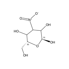 O=[N+]([O-])C1C(O)[C@@H](O)O[C@H](CO)C1O